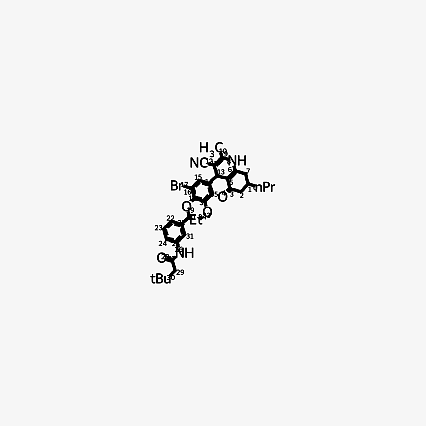 CCCC1CC(=O)C2=C(C1)NC(C)=C(C#N)C2c1cc(Br)c(OCc2cccc(NC(=O)CC(C)(C)C)c2)c(OCC)c1